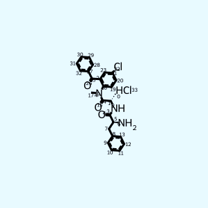 C[C@H](NC(=O)[C@@H](N)Cc1ccccc1)C(=O)N(C)c1ccc(Cl)cc1C(=O)c1ccccc1.Cl